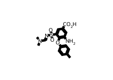 Cc1ccc(Oc2c(N)cc(C(=O)O)cc2S(=O)(=O)N=CN(C)C)cc1